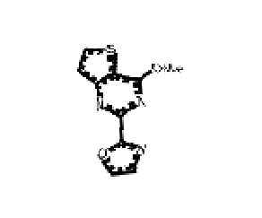 COc1nc(-c2ncco2)nc2ccsc12